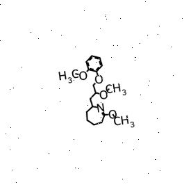 COC1=NC(CC(COc2ccccc2OC)OC)CCCC1